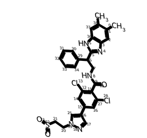 Cc1cc2nc(C(CNC(=O)c3c(Cl)cc(-c4cnn(CC[SH](=O)=O)c4)cc3Cl)c3ccccc3)[nH]c2cc1C